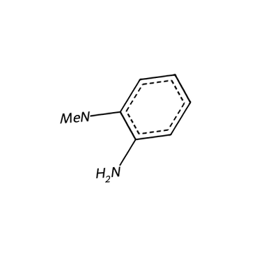 [CH2]Nc1ccccc1N